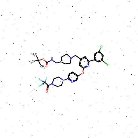 CC(C)(C)OC(=O)NCC1CCN(Cc2cc(Oc3ccc(N4CCN(C(=O)C(F)(F)F)CC4)nc3)nc(-c3cc(Cl)cc(Cl)c3)c2)CC1